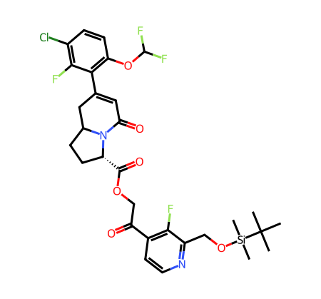 CC(C)(C)[Si](C)(C)OCc1nccc(C(=O)COC(=O)[C@@H]2CCC3CC(c4c(OC(F)F)ccc(Cl)c4F)=CC(=O)N32)c1F